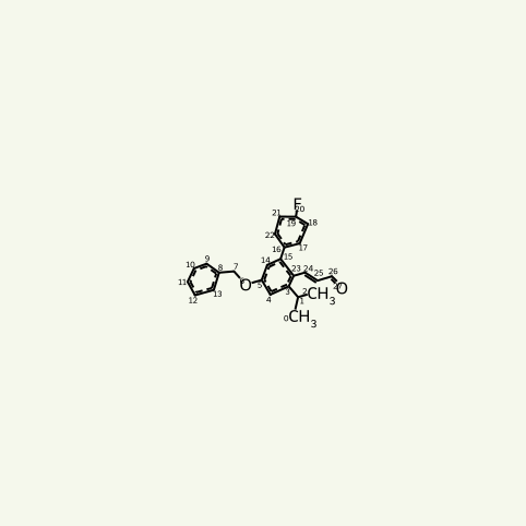 CC(C)c1cc(OCc2ccccc2)cc(-c2ccc(F)cc2)c1/C=C/C=O